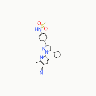 Cc1nc(N2N=C(c3ccc(NS(C)(=O)=O)cc3)C[C@@H]2C2CCCC2)ccc1C#N